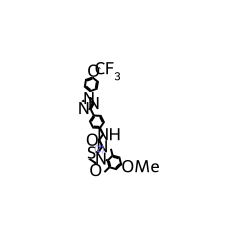 COc1cc(C)c(N2C(=O)CS/C2=N\C(=O)Nc2ccc(-c3ncn(-c4ccc(OC(F)(F)F)cc4)n3)cc2)c(C)c1